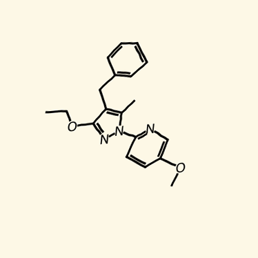 CCOc1nn(-c2ccc(OC)cn2)c(C)c1Cc1ccccc1